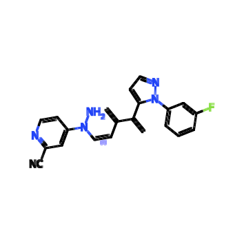 C=C(/C=C\N(N)c1ccnc(C#N)c1)C(=C)c1ccnn1-c1cccc(F)c1